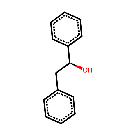 O[C@@H]([CH]c1ccccc1)c1ccccc1